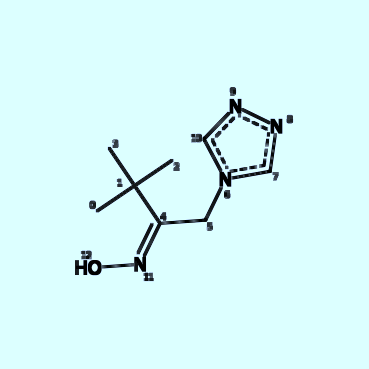 CC(C)(C)/C(Cn1cnnc1)=N\O